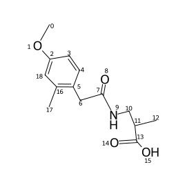 COc1ccc(CC(=O)NCC(C)C(=O)O)c(C)c1